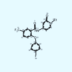 CCn1ccc(NC(=O)c2cc(C(F)(F)F)ccc2Oc2ccc(F)cc2)cc1=O